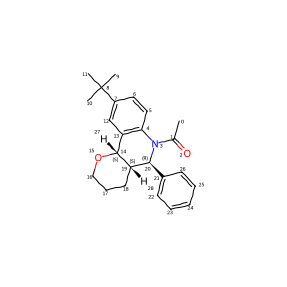 CC(=O)N1c2ccc(C(C)(C)C)cc2[C@H]2OCCC[C@H]2[C@@H]1c1ccccc1